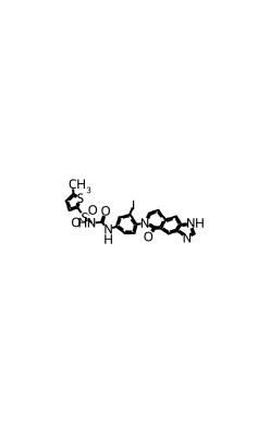 Cc1ccc(S(=O)(=O)NC(=O)Nc2ccc(-n3ccc4cc5[nH]cnc5cc4c3=O)c(I)c2)s1